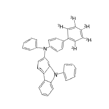 [2H]c1c([2H])c([2H])c(-c2ccc(N(c3ccccc3)c3ccc4c5ccccc5n(-c5ccccc5)c4c3)cc2)c([2H])c1[2H]